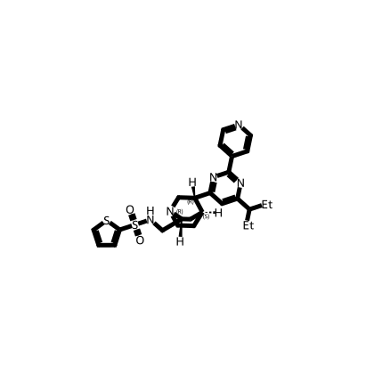 CCC(CC)c1cc([C@H]2CN3CC[C@H]2C[C@@H]3CNS(=O)(=O)c2cccs2)nc(-c2ccncc2)n1